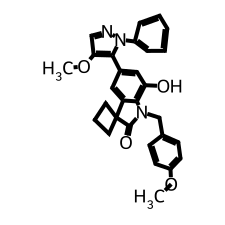 COc1ccc(CN2C(=O)C3(CCC3)c3cc(-c4c(OC)cnn4-c4ccccc4)cc(O)c32)cc1